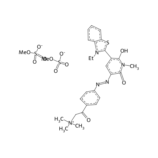 CC[n+]1c(-c2cc(N=Nc3ccc(C(=O)C[N+](C)(C)C)cc3)c(=O)n(C)c2O)sc2ccccc21.COS(=O)(=O)[O-].COS(=O)(=O)[O-]